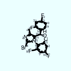 Cc1nc(Br)n(-c2c(F)cc(F)cc2Cl)c1C(O)c1ccc(F)cc1F